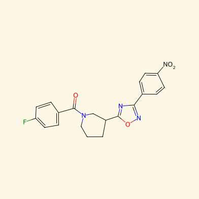 O=C(c1ccc(F)cc1)N1CCCC(c2nc(-c3ccc([N+](=O)[O-])cc3)no2)C1